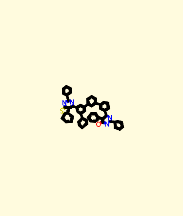 c1ccc(-c2cc(-c3cccc(-c4cccc(-c5nc(-c6ccccc6)nc6oc7ccccc7c56)c4)c3)cc(-c3nc(-c4ccccc4)nc4sc5ccccc5c34)c2)cc1